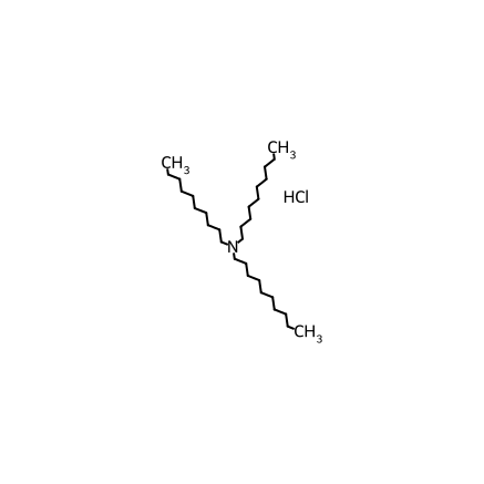 CCCCCCCCCCN(CCCCCCCCCC)CCCCCCCCCC.Cl